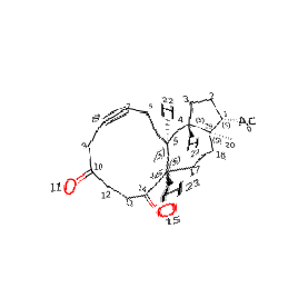 CC(=O)[C@H]1CC[C@H]2[C@@H]3CC#CCC(=O)CCC(=O)[C@H]3CC[C@]12C